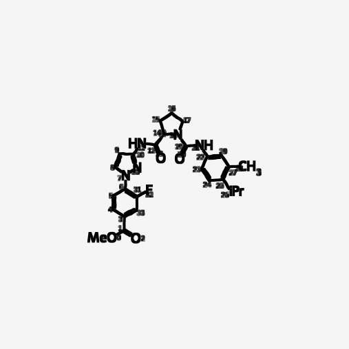 COC(=O)c1ccc(-n2ccc(NC(=O)[C@H]3CCCN3C(=O)Nc3ccc(C(C)C)c(C)c3)n2)c(F)c1